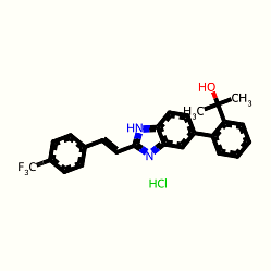 CC(C)(O)c1ccccc1-c1ccc2[nH]c(C=Cc3ccc(C(F)(F)F)cc3)nc2c1.Cl